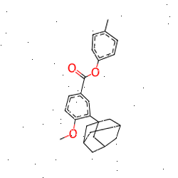 COc1ccc(C(=O)Oc2ccc(C)cc2)cc1C12CC3CC(CC(C3)C1)C2